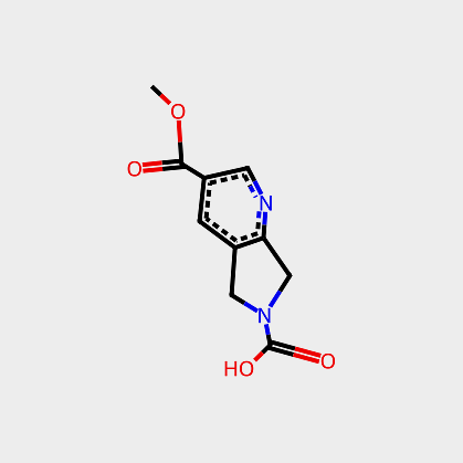 COC(=O)c1cnc2c(c1)CN(C(=O)O)C2